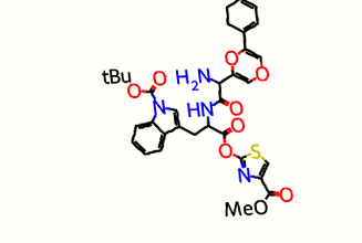 COC(=O)c1csc(OC(=O)C(Cc2cn(C(=O)OC(C)(C)C)c3ccccc23)NC(=O)C(N)C2=COC=C(C3=CC=CCC3)O2)n1